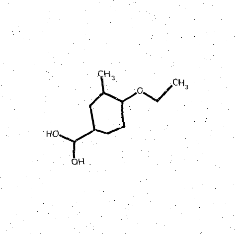 CCOC1CCC(C(O)O)CC1C